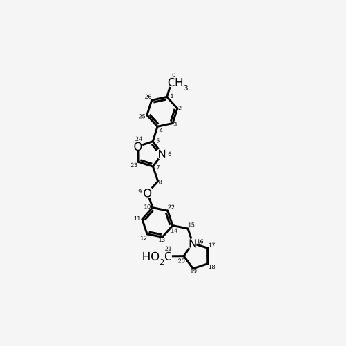 Cc1ccc(-c2nc(COc3cccc(CN4CCCC4C(=O)O)c3)co2)cc1